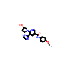 O=C(Nc1ccc(OC(F)(F)F)cc1)c1cnc(N2CC[C@@H](O)C2)c(-c2ncc[nH]2)c1